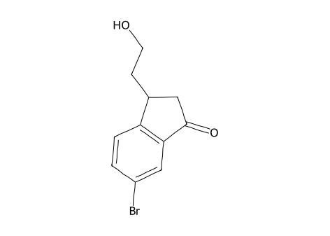 O=C1CC(CCO)c2ccc(Br)cc21